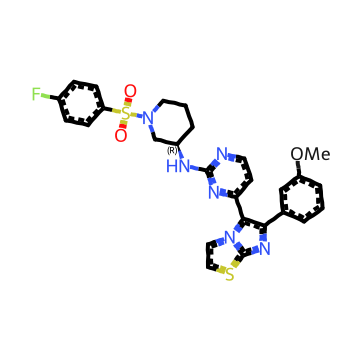 COc1cccc(-c2nc3sccn3c2-c2ccnc(N[C@@H]3CCCN(S(=O)(=O)c4ccc(F)cc4)C3)n2)c1